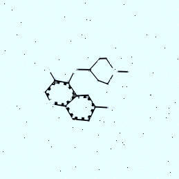 CN1CCC(Nc2c(N)cnc3ccc(I)cc23)CC1